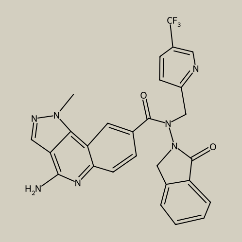 Cn1ncc2c(N)nc3ccc(C(=O)N(Cc4ccc(C(F)(F)F)cn4)N4Cc5ccccc5C4=O)cc3c21